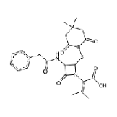 CC(C)=C(C(=O)O)N1C(=O)C(NC(=O)Cc2ccccc2)C1SN1C(=O)CC(C)(C)CC1=O